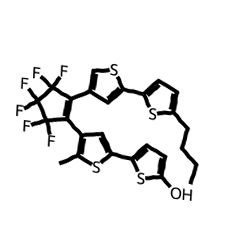 CCCCc1ccc(-c2cc(C3=C(c4cc(-c5ccc(O)s5)sc4C)C(F)(F)C(F)(F)C3(F)F)cs2)s1